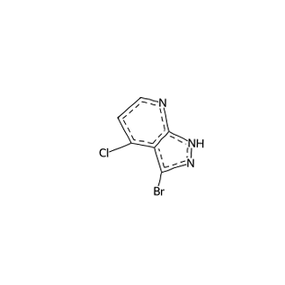 Clc1ccnc2[nH]nc(Br)c12